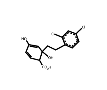 O=C(O)C1C=CC(O)=CC1(O)CCc1ccc(Cl)cc1Cl